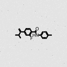 C=C(c1ccc(C(=O)Nc2ccc(C)cc2)c(F)c1)C(C)C